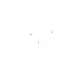 CCC(=O)NCCNc1cc(OC)ccc1N